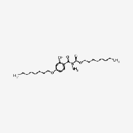 CCCCCCCCOC(=O)N(N)C(=O)c1ccc(OCCCCCCCC)cc1O